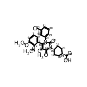 C=Nc1c(OC)cccc1-c1c(C)c(=O)n([C@H]2CC[C@H](C(=O)O)CC2)c(=O)n1-c1cccc(Cl)c1